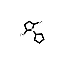 CC(C)C1CCC(C(C)C)P1C1CCCC1